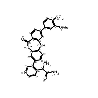 COc1cc(-c2ccc3c(c2)Nc2ccc(-c4cnccc4C(C)C(N)=O)cc2NC3=O)ccc1[N+](=O)[O-]